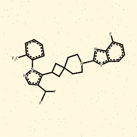 Fc1cccc2sc(N3CCC4(CC3)CC(c3c(C(F)F)cnn3-c3ccccc3C(F)(F)F)C4)nc12